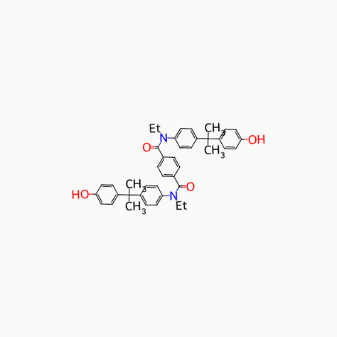 CCN(C(=O)c1ccc(C(=O)N(CC)c2ccc(C(C)(C)c3ccc(O)cc3)cc2)cc1)c1ccc(C(C)(C)c2ccc(O)cc2)cc1